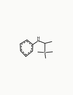 CC(Nc1ccccc1)S(C)(C)C